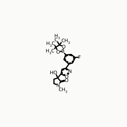 CN1CCC(O)(c2cc(-c3cc(F)cc(B4OC(C)(C)C(C)(C)O4)c3)no2)C1=O